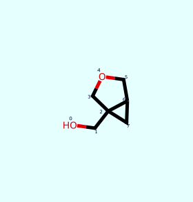 OCC12COCC1C2